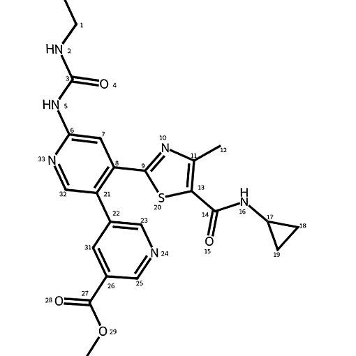 CCNC(=O)Nc1cc(-c2nc(C)c(C(=O)NC3CC3)s2)c(-c2cncc(C(=O)OC)c2)cn1